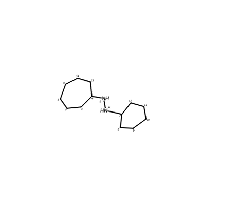 C1CCCC(NNC2CCCCC2)CC1